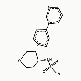 CC(C)S(=O)(=O)N[C@@H]1CCOC[C@@H]1c1ccc(-c2cccnc2)cc1